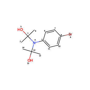 CC(C)(O)N(c1ccc(Br)cc1)C(C)(C)O